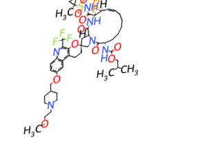 COCCN1CCC(COc2ccc3nc(C(F)(F)F)c4c(c3c2)CC[C@]2(C[C@H]3C(=O)N[C@]5(C(=O)NS(=O)(=O)C6(C)CC6)P[C@H]5/C=C\CCCCC[C@H](NC(=O)OCC(C)C)C(=O)N3C2)O4)CC1